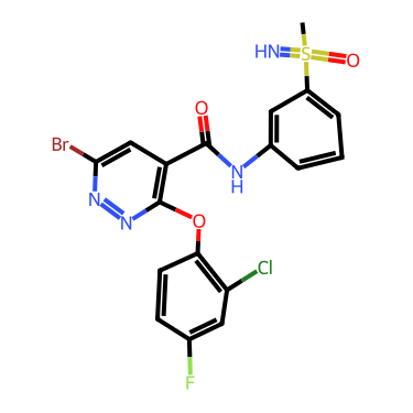 CS(=N)(=O)c1cccc(NC(=O)c2cc(Br)nnc2Oc2ccc(F)cc2Cl)c1